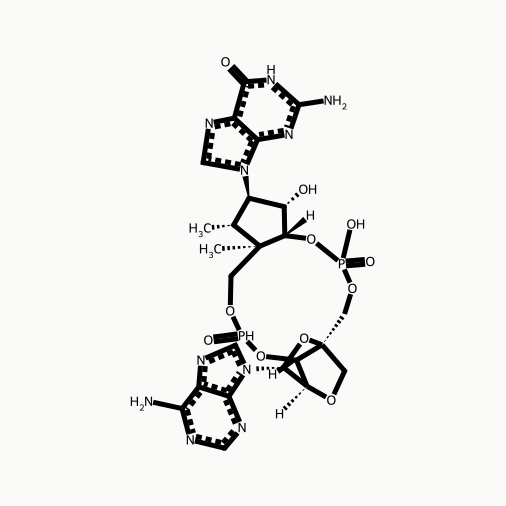 C[C@@H]1[C@@H](n2cnc3c(=O)[nH]c(N)nc32)[C@H](O)[C@@H]2OP(=O)(O)OC[C@@]34CO[C@@H]([C@H](n5cnc6c(N)ncnc65)O3)[C@@H]4O[PH](=O)OC[C@@]12C